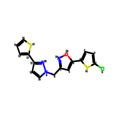 Clc1ccc(-c2cc(Cn3ccc(-c4cccs4)n3)no2)s1